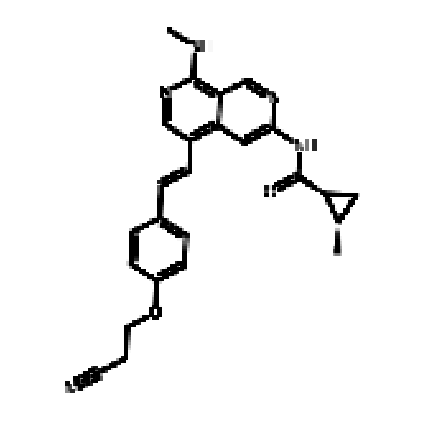 CNc1ncc(/C=C/c2ccc(OCCC#N)cc2)c2cc(NC(=O)[C@H]3C[C@H]3C)ncc12